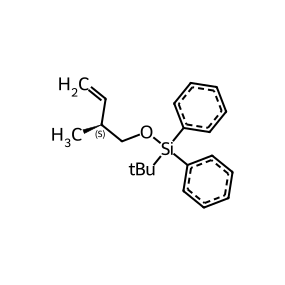 C=C[C@H](C)CO[Si](c1ccccc1)(c1ccccc1)C(C)(C)C